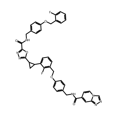 O=C(NCc1ccc(OCc2cccc(C3CC3c3nnc(C(=O)NCc4ccc(OCc5ccccc5F)cc4)o3)c2F)cc1)c1ccn2cnnc2c1